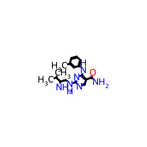 Cc1cccc(Nc2nc(NCC(N)C(C)C)ncc2C(N)=O)c1